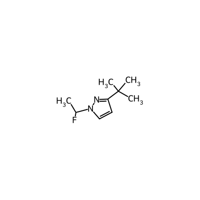 CC(F)n1ccc(C(C)(C)C)n1